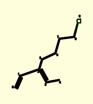 C=CC(=CC)CCCCCl